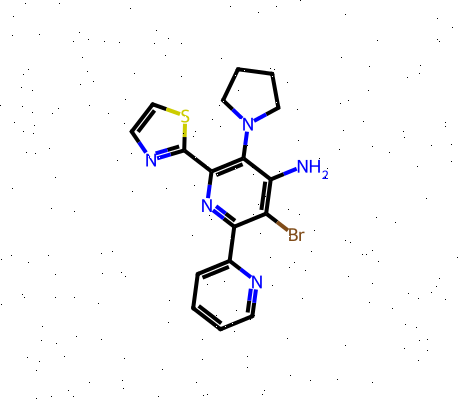 Nc1c(Br)c(-c2ccccn2)nc(-c2nccs2)c1N1CCCC1